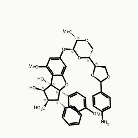 COc1ccc([C@@]23Oc4cc(O[C@@H]5O[C@@H]([C@H]6COC(c7ccc(N)cc7)O6)CO[C@H]5OC)cc(OC)c4[C@]2(O)[C@H](O)[C@H](C(=O)O)[C@H]3c2ccccc2)cc1